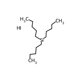 CCCCC[Si](CCCCC)CCCCC.I